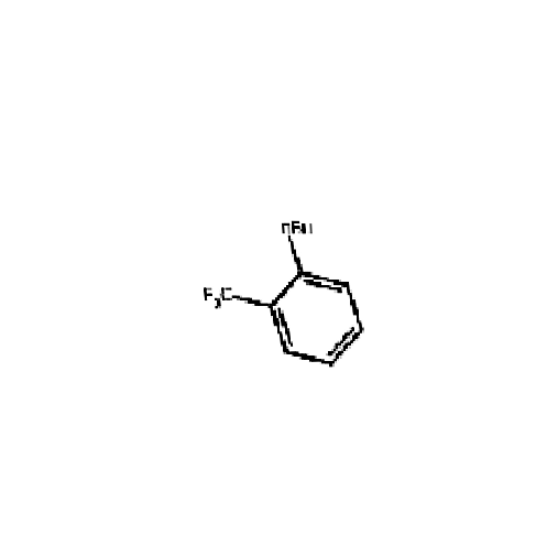 C[CH]CCc1ccccc1C(F)(F)F